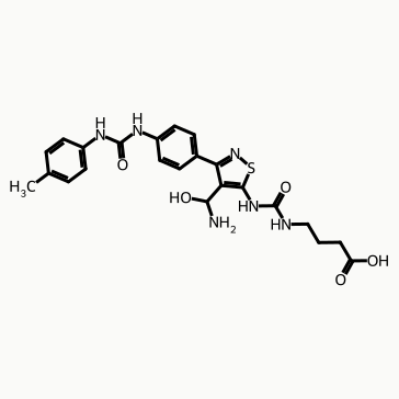 Cc1ccc(NC(=O)Nc2ccc(-c3nsc(NC(=O)NCCCC(=O)O)c3C(N)O)cc2)cc1